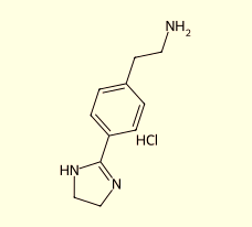 Cl.NCCc1ccc(C2=NCCN2)cc1